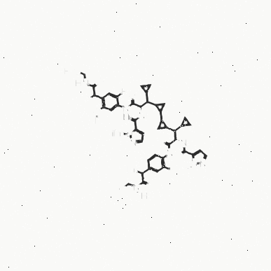 CCOc1cc(NC(=O)[C@@H](NC(=O)c2ccnn2C(C)C)C(C2CC2)C2CC2C2CC2C(C2CC2)[C@H](NC(=O)c2ccnn2C(C)C)C(=O)Nc2ccc(C(CC)C(=O)N(C)CC(F)(F)F)cc2F)c(F)cc1C(C)C(=O)NCC(F)(F)F